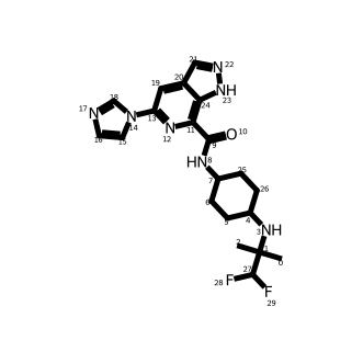 CC(C)(NC1CCC(NC(=O)c2nc(-n3ccnc3)cc3cn[nH]c23)CC1)C(F)F